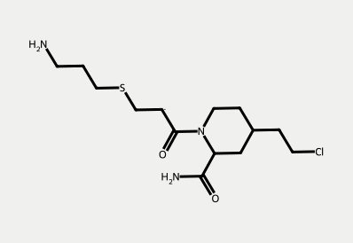 NCCCSC[CH]C(=O)N1CCC(CCCl)CC1C(N)=O